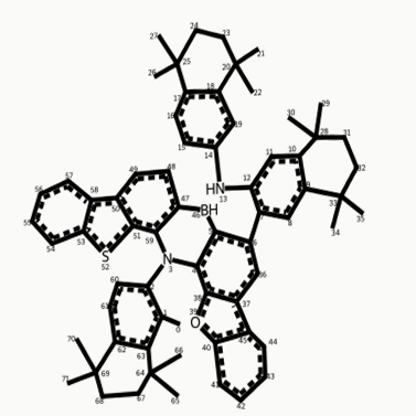 Cc1c(N2c3c(c(-c4cc5c(cc4Nc4ccc6c(c4)C(C)(C)CCC6(C)C)C(C)(C)CCC5(C)C)cc4c3oc3ccccc34)Bc3ccc4c(sc5ccccc54)c32)ccc2c1C(C)(C)CCC2(C)C